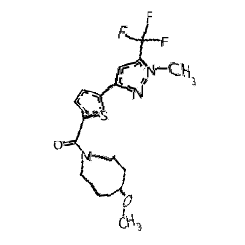 COC1CCN(C(=O)c2ccc(-c3cc(C(F)(F)F)n(C)n3)s2)CC1